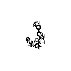 Cc1ncc(NC(=O)CN2CCC[C@@H]2C)cc1NC(=O)c1nnn2cc(-c3ccc4nccnc4c3)ccc12